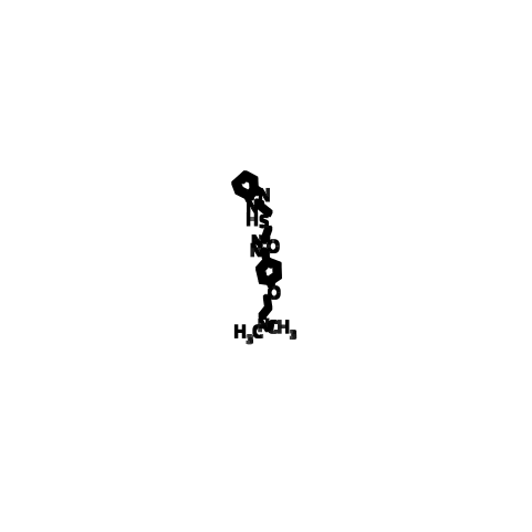 CN(C)CCCOc1ccc(-c2nnc(CSCc3nc4ccccc4[nH]3)o2)cc1